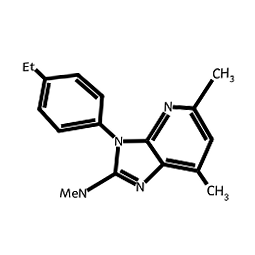 [CH2]Cc1ccc(-n2c(NC)nc3c(C)cc(C)nc32)cc1